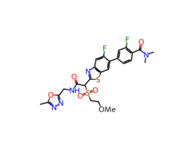 COCCS(=O)(=O)C(C(=O)NCc1nnc(C)o1)c1nc2cc(F)c(-c3ccc(C(=O)N(C)C)c(F)c3)cc2s1